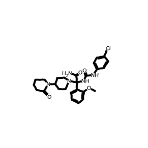 COc1ccccc1C(NC(=O)Nc1ccc(Cl)cc1)(C(N)=O)N1CCC(N2CCCCC2=O)CC1